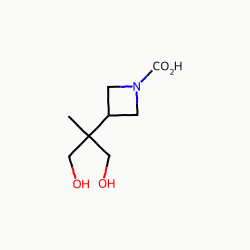 CC(CO)(CO)C1CN(C(=O)O)C1